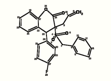 C=CCC1(S(=O)(=O)Cc2ccccc2)C(=O)Oc2ccccc2C1c1ccc(F)cc1